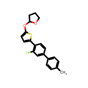 Cc1ccc(-c2ccc(-c3ccc(OC4CCCO4)s3)c(F)c2)cc1